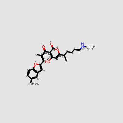 CCCCCCc1ccc2oc(/C=C(\C)C(=O)c3c(O)cc(C(C)CC/C=C/NC(=O)O)oc3=O)cc2c1